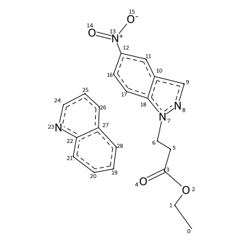 CCOC(=O)CCn1ncc2cc([N+](=O)[O-])ccc21.c1ccc2ncccc2c1